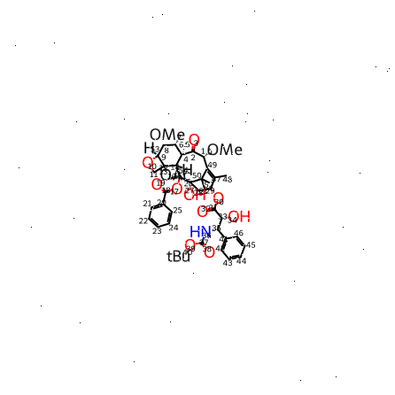 CO[C@H]1C(=O)[C@]2(C)[C@@H](OC)C[C@H]3OC[C@@]3(OC(C)=O)[C@H]2[C@@](C)(OC(=O)c2ccccc2)[C@]2(O)C[C@H](OC(=O)[C@H](O)[C@@H](NC(=O)OC(C)(C)C)c3ccccc3)C(C)=C1C2(C)C